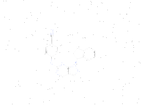 N#Cc1ccc(Nc2ncc3cnn([C@H]4CCc5ccccc54)c3n2)cc1